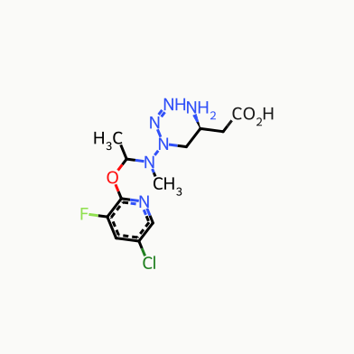 CC(Oc1ncc(Cl)cc1F)N(C)N(C[C@@H](N)CC(=O)O)N=N